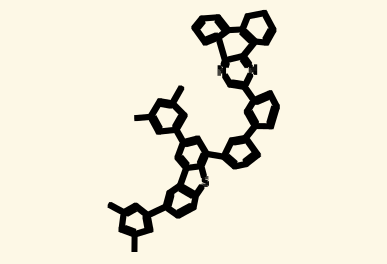 Cc1cc(C)cc(-c2ccc3sc4c(-c5cccc(-c6cccc(-c7cnc8c(n7)c7c(c9ccccc98)CCC=C7)c6)c5)cc(-c5cc(C)cc(C)c5)cc4c3c2)c1